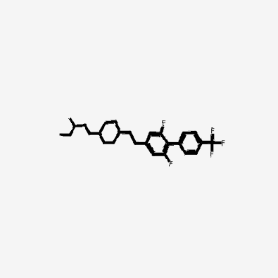 CCC(C)CCC1CCC(CCc2cc(F)c(-c3ccc(C(F)(F)F)cc3)c(F)c2)CC1